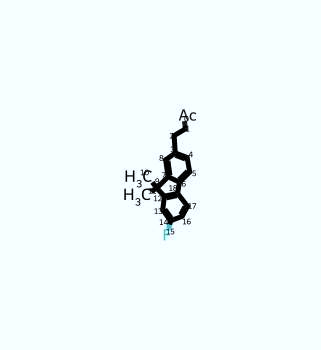 CC(=O)CCc1ccc2c(c1)C(C)(C)c1cc(F)ccc1-2